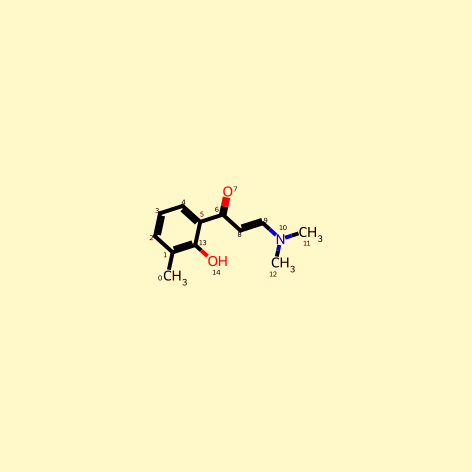 Cc1cccc(C(=O)C=CN(C)C)c1O